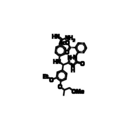 CCOc1cc(C(Nc2ccc(C(=N)N)cc2)c2nn(-c3ccccc3C(=O)OC(C)=O)c(=O)[nH]2)ccc1OC(C)COC